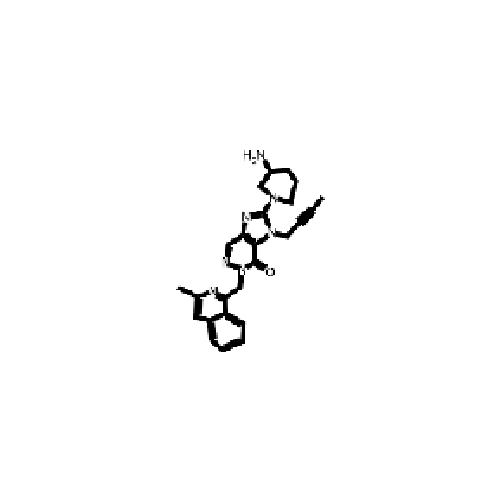 CC#CCn1c(N2CCCC(N)C2)nc2cnn(Cc3nc(C)cc4ccccc34)c(=O)c21